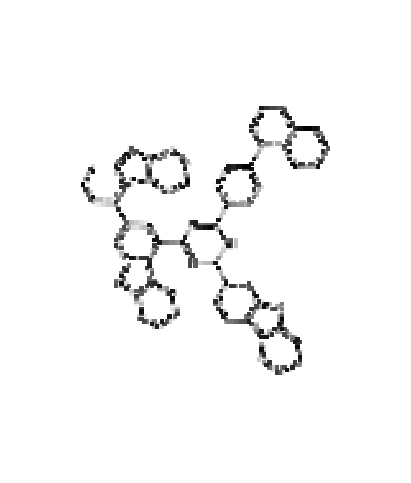 c1ccc2c(-c3ccc(C4=NC(c5cc(-c6cccc7sc8ccccc8c67)cc6oc7ccccc7c56)=NC(c5ccc6c(c5)sc5ccccc56)N4)cc3)cccc2c1